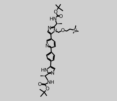 C[C@H](NC(=O)OC(C)(C)C)c1ncc(-c2ccc(-c3ccc(-c4cnc([C@H](C)NC(=O)OC(C)(C)C)n4COCC[Si](C)(C)C)cn3)cc2)[nH]1